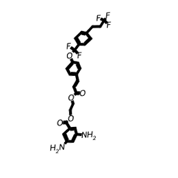 Nc1cc(N)cc(C(=O)OCCOC(=O)/C=C/c2ccc(OC(F)(F)c3ccc(CCC(F)(F)F)cc3)cc2)c1